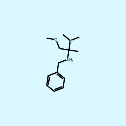 COCC(C)([SiH2]Cc1ccccc1)N(C)C